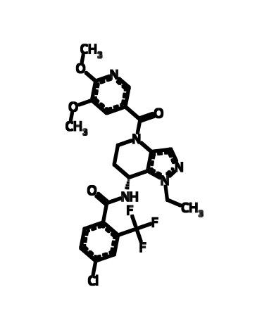 CCn1ncc2c1[C@H](NC(=O)c1ccc(Cl)cc1C(F)(F)F)CCN2C(=O)c1cnc(OC)c(OC)c1